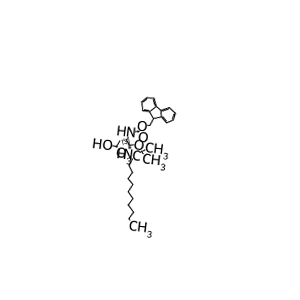 CCCCCCCCCCCN=C(OC(C)(C)C)[C@H](CC(=O)O)NC(=O)OCC1c2ccccc2-c2ccccc21